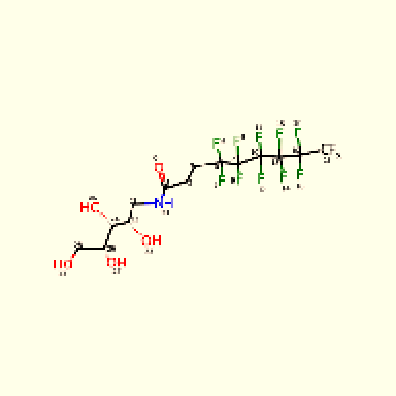 O=C(CCC(F)(F)C(F)(F)C(F)(F)C(F)(F)C(F)(F)C(F)(F)F)NC[C@H](O)[C@@H](O)[C@H](O)CO